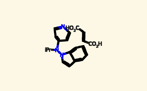 CC(C)N(c1ccncc1)n1ccc2ccccc21.O=C(O)C=CC(=O)O